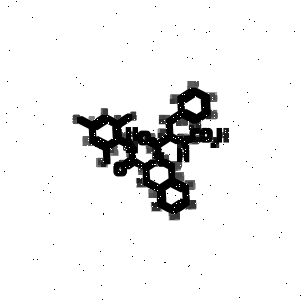 Cc1cc(C)c(NC(=O)[C@@H]2Cc3ccccc3CN2C(=O)C(Cc2ccccc2)NC(=O)O)c(C)c1